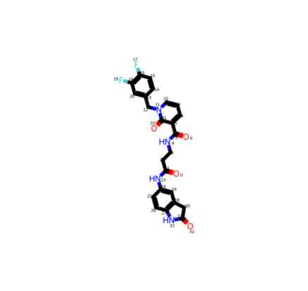 O=C(CCNC(=O)c1cccn(Cc2ccc(F)c(F)c2)c1=O)Nc1ccc2c(c1)CC(=O)N2